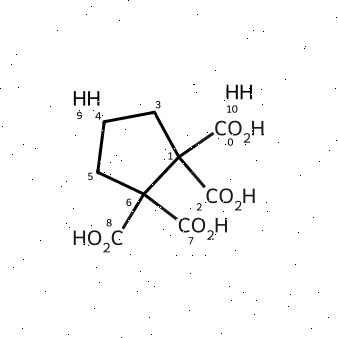 O=C(O)C1(C(=O)O)CCCC1(C(=O)O)C(=O)O.[HH].[HH]